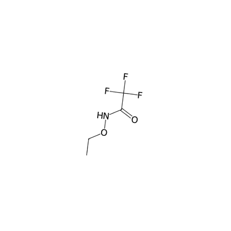 CCONC(=O)C(F)(F)F